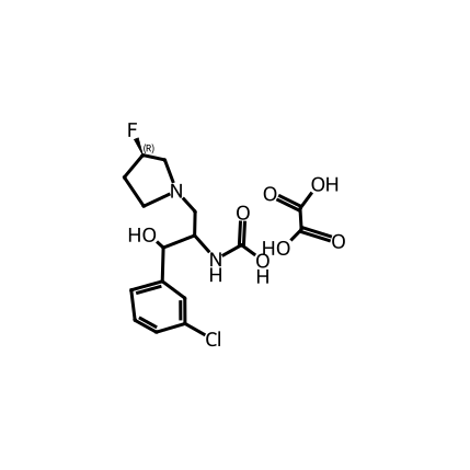 O=C(O)C(=O)O.O=C(O)NC(CN1CC[C@@H](F)C1)C(O)c1cccc(Cl)c1